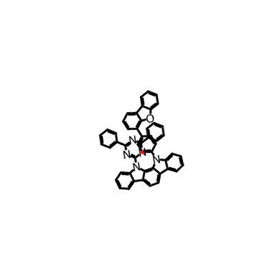 c1ccc(-c2nc(-c3ccccc3)nc(-n3c4ccccc4c4ccc5c6ccccc6n(-c6ccc(-c7cccc8c7oc7ccccc78)cc6)c5c43)n2)cc1